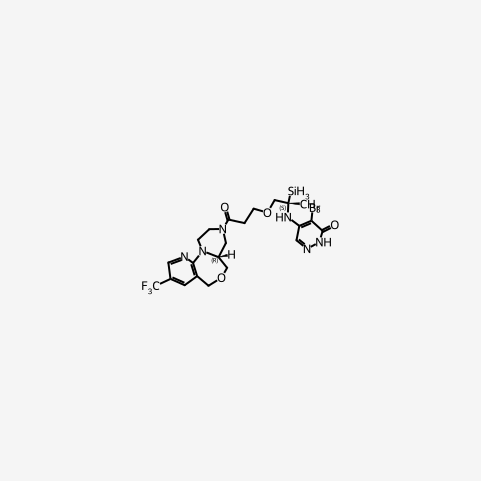 C[C@]([SiH3])(COCCC(=O)N1CCN2c3ncc(C(F)(F)F)cc3COC[C@H]2C1)Nc1cn[nH]c(=O)c1Br